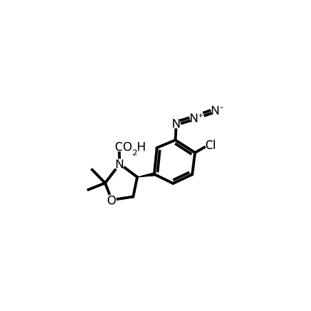 CC1(C)OC[C@H](c2ccc(Cl)c(N=[N+]=[N-])c2)N1C(=O)O